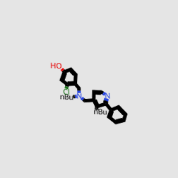 CCCCc1c(CN(CCCC)Cc2ccc(O)cc2Cl)ccnc1-c1ccccc1